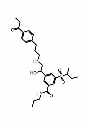 CCCNC(=O)c1cc(C(O)CNCCCc2ccc(C(=O)CC)cc2)cc(S(=O)(=O)C(C)CC)c1